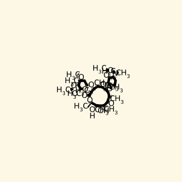 CC[C@H]1OC(=O)[C@H](C)[C@@H](O[C@H]2C[C@@](C)(OC)[C@@H](OC(C)=O)[C@H](C)O2)[C@H](C)C(O[C@@H]2OCC[C@H](N(C)C)[C@H]2OC(C)=O)[C@](C)(OC)C[C@@H](C)C(=O)[C@H](C)[C@@H](O)[C@]1(C)O